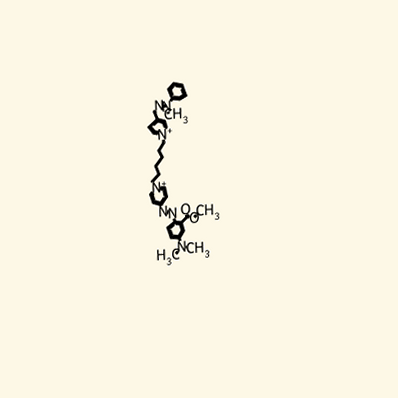 COC(=O)c1cc(N(C)C)ccc1/N=N/c1cc[n+](CCCCCC[n+]2ccc(/C=N\N(C)c3ccccc3)cc2)cc1